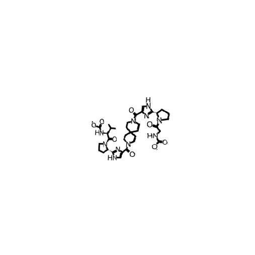 COC(=O)NCC(=O)N1CCC[C@H]1c1nc(C(=O)N2CCC3(CC2)CCN(C(=O)c2c[nH]c([C@@H]4CCCN4C(=O)[C@@H](NC(=O)OC)C(C)C)n2)CC3)c[nH]1